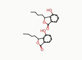 CCCCC1OC(=O)c2cccc(O)c21.CCCCC1OC(=O)c2cccc(O)c21